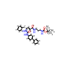 CC(C)(C)OC(=O)NCCCNC(=O)C=C[C@@H](Cc1ccccc1)NC(=O)Nc1ccc(-c2ccccc2)cc1